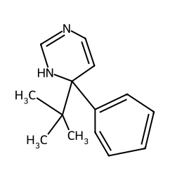 CC(C)(C)C1(c2ccccc2)C=CN=CN1